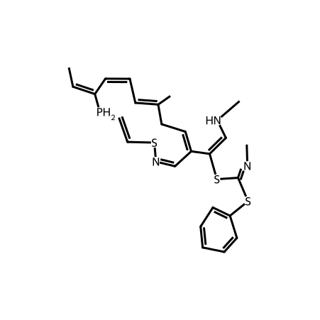 C=CS\N=C/C(=C\C/C(C)=C/C=C\C(P)=C/C)C(=C\NC)/S/C(=N\C)Sc1ccccc1